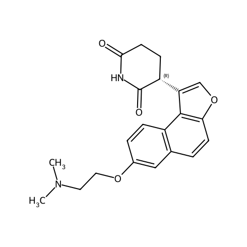 CN(C)CCOc1ccc2c(ccc3occ([C@H]4CCC(=O)NC4=O)c32)c1